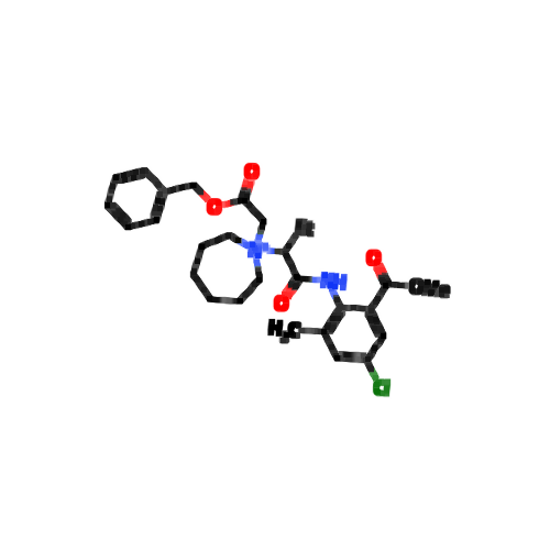 CCC(C(=O)Nc1c(C)cc(Cl)cc1C(=O)OC)[N+]1(CC(=O)OCc2ccccc2)CCCCCC1